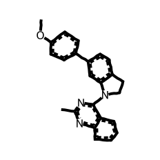 COc1ccc(-c2ccc3c(c2)N(c2nc(C)nc4ccccc24)CC3)cc1